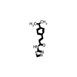 CC(C)c1ccc(/C=C/C(=O)Nc2nncs2)cc1